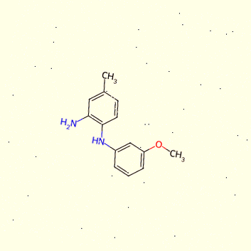 COc1cccc(Nc2ccc(C)cc2N)c1